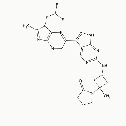 Cc1nc2ncc(-c3c[nH]c4nc(NC5CC(C)(N6CCCC6=O)C5)ncc34)nc2n1CC(F)F